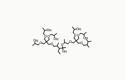 CCC(C(C)COCC(COCC(C)O)(COCC(C)O)COCC(C)O)C(C)(O)OC(C)COCC(COCC(C)O)(COCC(C)O)COCC(C)C(C)C